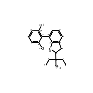 CCC(N)(CC)C1Cc2cccc(-c3c(Cl)cccc3Cl)c2O1